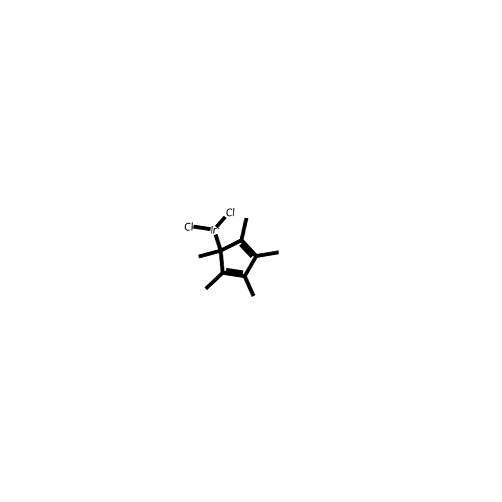 CC1=C(C)[C](C)([Ir-]([Cl])[Cl])C(C)=C1C